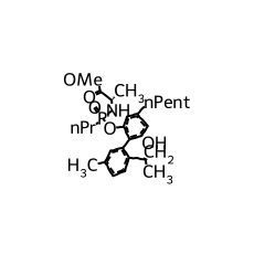 C=C(C)c1ccc(C)cc1-c1c(O)cc(CCCCC)cc1OP(=O)(CCC)N[C@@H](C)C(=O)OC